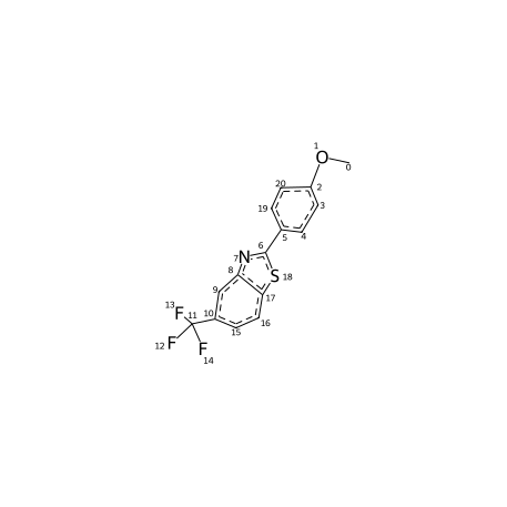 COc1ccc(-c2nc3cc(C(F)(F)F)ccc3s2)cc1